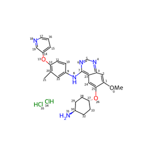 COc1cc2ncnc(Nc3ccc(Oc4cccnc4)c(C)c3)c2cc1O[C@H]1CC[C@H](N)CC1.Cl.Cl